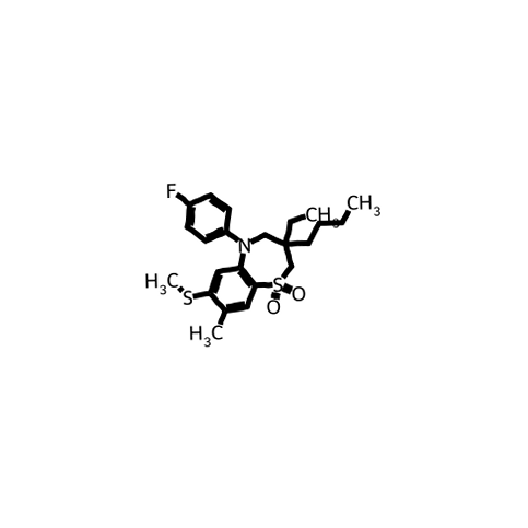 CCCCC1(CC)CN(c2ccc(F)cc2)c2cc(SC)c(C)cc2S(=O)(=O)C1